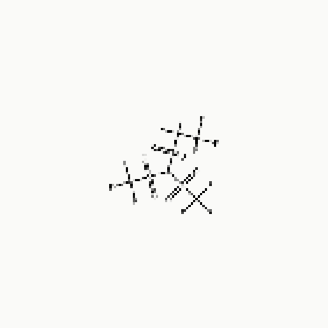 O=S(=O)(C(S(=O)(=O)C(F)(F)F)S(=O)(=O)C(F)(F)C(F)(F)F)C(F)(F)F